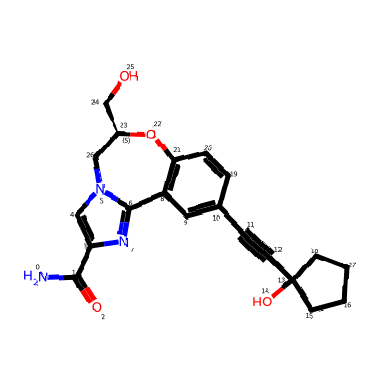 NC(=O)c1cn2c(n1)-c1cc(C#CC3(O)CCCC3)ccc1O[C@H](CO)C2